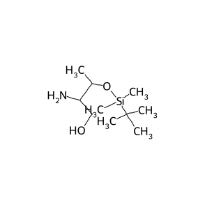 CC(O[Si](C)(C)C(C)(C)C)C(N)CO